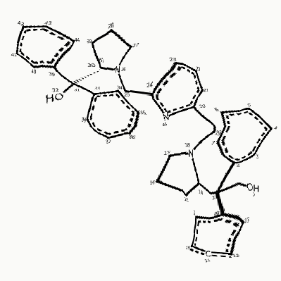 OC(c1ccccc1)(c1ccccc1)C1CCCN1Cc1cccc(CN2CCC[C@H]2C(O)(c2ccccc2)c2ccccc2)n1